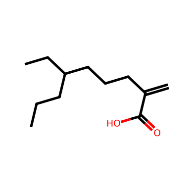 C=C(CCCC(CC)CCC)C(=O)O